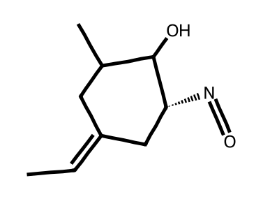 C/C=C1\CC(C)C(O)[C@H](N=O)C1